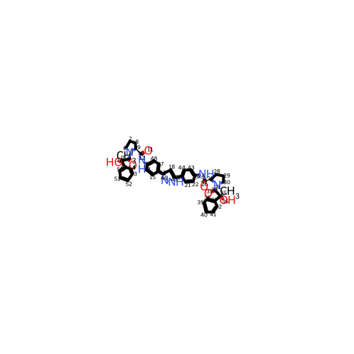 C[C@@](O)(C(=O)N1CCC[C@H]1C(=O)Nc1ccc(-c2cc(-c3ccc(NC(=O)[C@@H]4CCCN4C(=O)[C@@](C)(O)c4ccccc4)cc3)[nH]n2)cc1)c1ccccc1